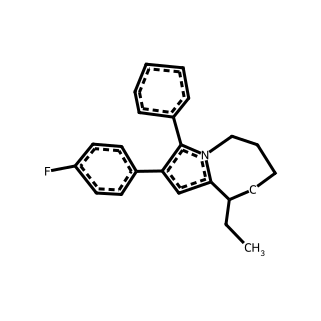 CCC1CCCCn2c1cc(-c1ccc(F)cc1)c2-c1ccccc1